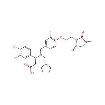 Cc1cc(CN(CC2CCCC2)[C@@H](CC(=O)O)c2ccc(Cl)c(F)c2)ccc1OCCN1C(=O)CN(C)C1=O